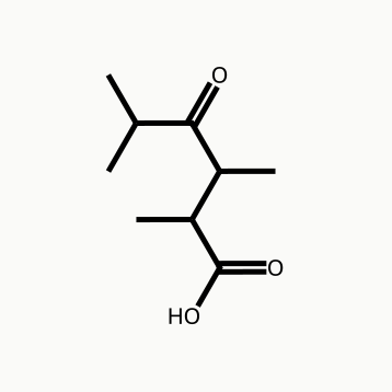 CC(C)C(=O)C(C)C(C)C(=O)O